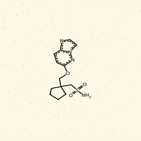 NS(=O)(=O)CC1(COc2ccc3nccn3n2)CCCC1